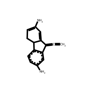 C=C=C1C2=CC(N)=CCC2c2ccc(N)cc21